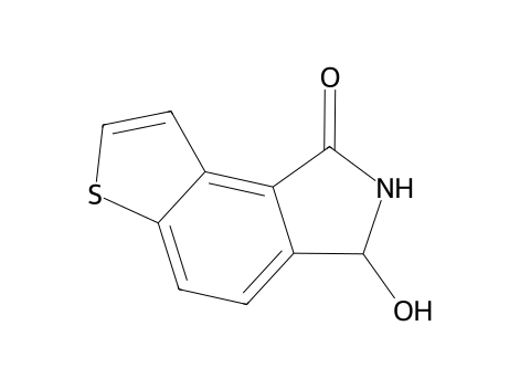 O=C1NC(O)c2ccc3sccc3c21